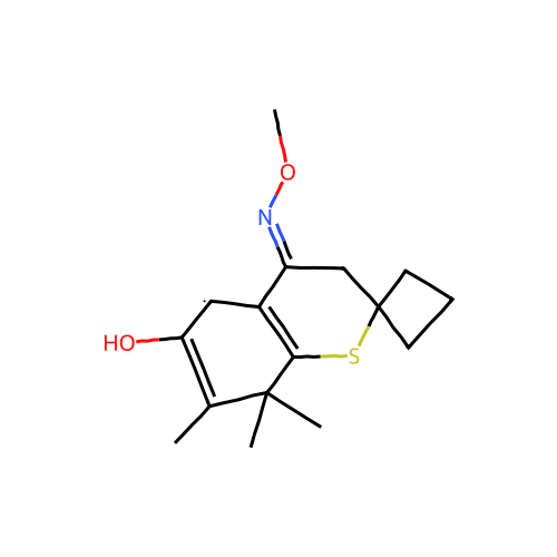 CON=C1CC2(CCC2)SC2=C1[CH]C(O)=C(C)C2(C)C